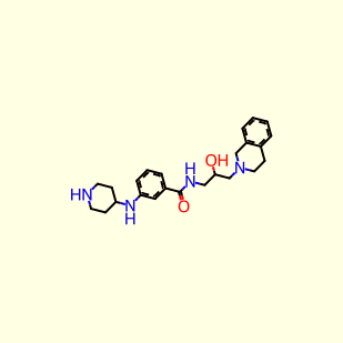 O=C(NCC(O)CN1CCc2ccccc2C1)c1cccc(NC2CCNCC2)c1